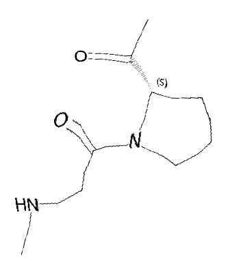 CNCC(=O)N1CCC[C@H]1C(C)=O